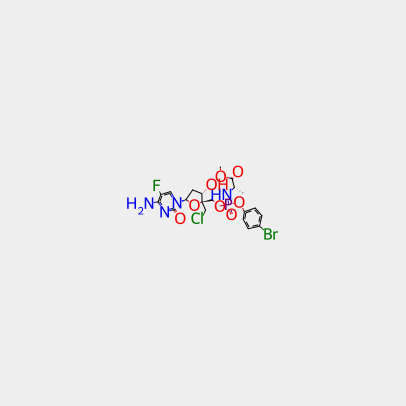 COC(=O)[C@H](C)NP(=O)(OC[C@@]1(CCl)O[C@@H](n2cc(F)c(N)nc2=O)C[C@@H]1O)Oc1ccc(Br)cc1